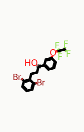 O[C@@H](CCc1c(Br)cccc1Br)c1cccc(OC(F)(F)C(F)F)c1